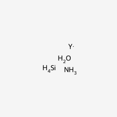 N.O.[SiH4].[Y]